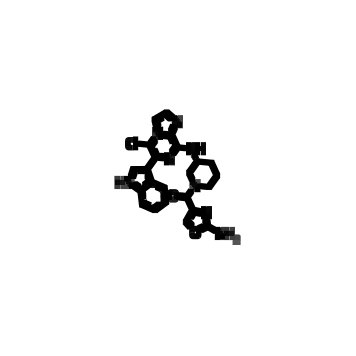 Nc1nc(C(=O)N2CCC[C@H](Nc3nc(-c4c[nH]c5ccccc45)c(Cl)n4ccnc34)C2)co1